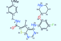 COc1ccc(CNC(=O)c2sc3ncnc(Nc4ccc(F)cc4OC4CCCNC4)c3c2C)cc1